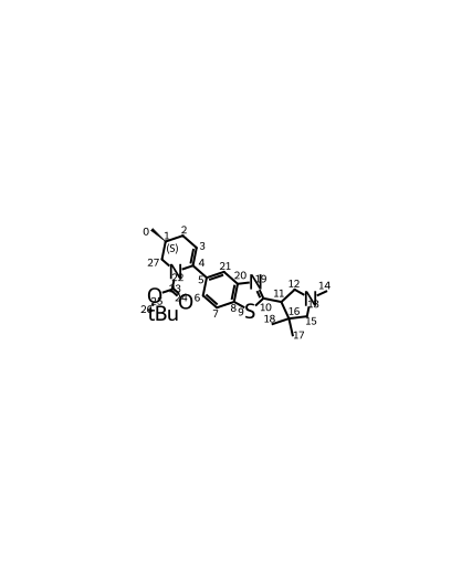 C[C@H]1CC=C(c2ccc3sc(C4CN(C)CC4(C)C)nc3c2)N(C(=O)OC(C)(C)C)C1